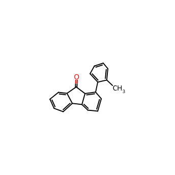 Cc1ccccc1-c1cccc2c1C(=O)c1ccccc1-2